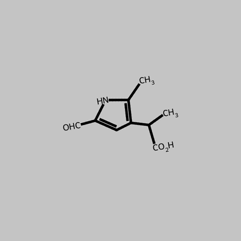 Cc1[nH]c(C=O)cc1C(C)C(=O)O